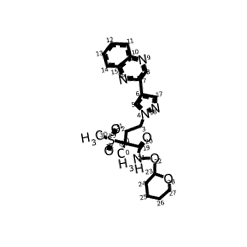 C[C@@](CCn1cc(-c2cnc3ccccc3n2)cn1)(C(=O)NOC1CCCCO1)S(C)(=O)=O